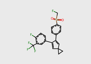 O=S(=O)(CF)c1ccc(C2=CC3(C=C2c2ccc(F)c(C(F)(F)F)c2)CC3)cc1